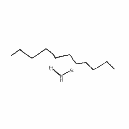 CCCCCCCCCCC.CCNCC